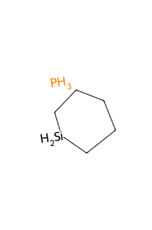 C1CC[SiH2]CC1.P